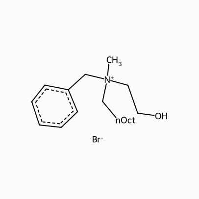 CCCCCCCCC[N+](C)(CCO)Cc1ccccc1.[Br-]